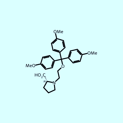 COc1ccc(C(OCCN2CCC[C@@H]2C(=O)O)(c2ccc(OC)cc2)c2ccc(OC)cc2)cc1